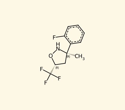 C[C@]1(c2ccccc2F)C[C@H](C(F)(F)F)ON1